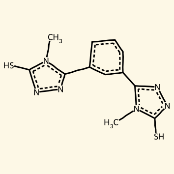 Cn1c(S)nnc1-c1cccc(-c2nnc(S)n2C)c1